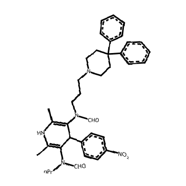 CCCN(C=O)C1=C(C)NC(C)=C(N(C=O)CCCN2CCC(c3ccccc3)(c3ccccc3)CC2)C1c1ccc([N+](=O)[O-])cc1